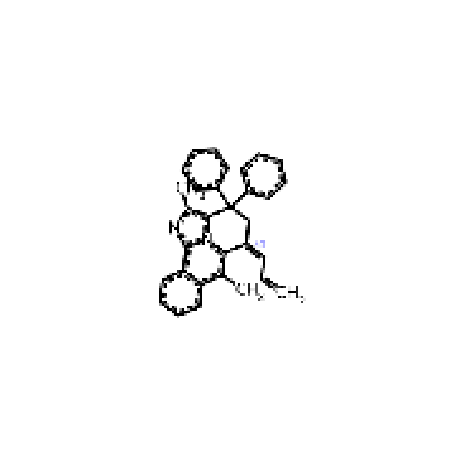 C=C/C=C1/CC(c2ccccc2)(c2ccccc2)c2c(C)nc3c4ccccc4c(C)c1n23